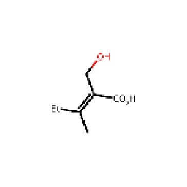 CCC(C)=C(CO)C(=O)O